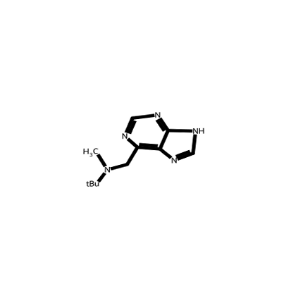 CN(Cc1ncnc2[nH]cnc12)C(C)(C)C